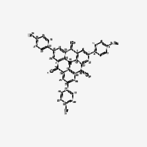 CC(C)(C)c1ccc(-c2cc3c(=O)c4cc(-c5ccc(Br)cc5)cc5c(=O)c6cc(-c7ccc(Br)cc7)cc7c(=O)c(c2)c3n(c54)c67)cc1